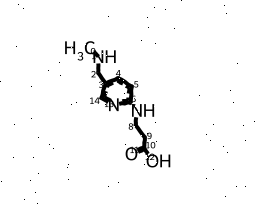 CNCc1ccc(NCCC(=O)O)nc1